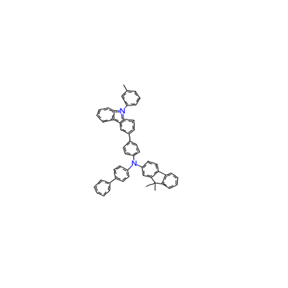 Cc1cccc(-n2c3ccccc3c3cc(-c4ccc(N(c5ccc(-c6ccccc6)cc5)c5ccc6c(c5)C(C)(C)c5ccccc5-6)cc4)ccc32)c1